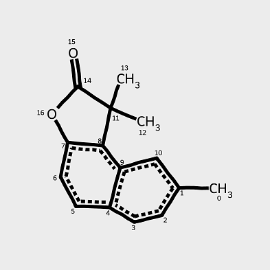 Cc1ccc2ccc3c(c2c1)C(C)(C)C(=O)O3